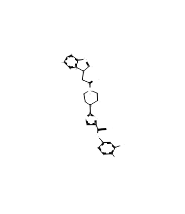 O=C(Nc1ccc(F)c(F)c1)c1csc(C2CCN(C(=O)CC3C=Nc4ccccc43)CC2)n1